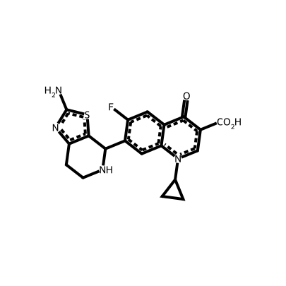 Nc1nc2c(s1)C(c1cc3c(cc1F)c(=O)c(C(=O)O)cn3C1CC1)NCC2